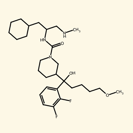 CNCC(CC1CCCCC1)NC(=O)N1CCCC(C(O)(CCCCOC)c2cccc(F)c2F)C1